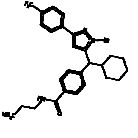 CCn1nc(-c2ccc(C(F)(F)F)cc2)cc1C(c1ccc(C(=O)NCCC(=O)O)cc1)C1CCCCC1